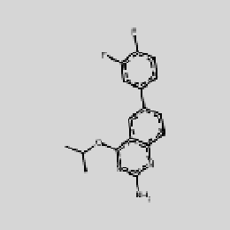 CC(C)Oc1nc(N)nc2ccc(-c3ccc(F)c(F)c3)cc12